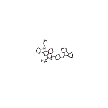 C/C(=N/N(c1ccccc1)c1ccc(C=C2c3ccccc3-c3ccccc32)cc1)c1ccc2c(c1)c1ccccc1n2CCC(C)C